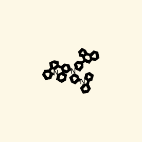 c1ccc(-n2c3ccccc3c3cccc(-c4ccc(N(c5ccc(-c6cc7ccccc7c7ccccc67)cc5)c5cccc(-n6c7ccccc7c7ccccc76)c5)cc4)c32)cc1